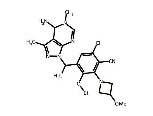 CCOc1c(C(C)n2nc(C)c3c2N=CN(C)C3N)cc(Cl)c(C#N)c1N1CC(OC)C1